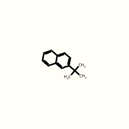 CC(C)(C)c1ccc2[c]cc[c]c2c1